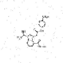 CC(C)NC(=O)c1cccc2c(C(=N)N)cn(CC(=O)Nc3ccc(C(=O)O)cc3)c12